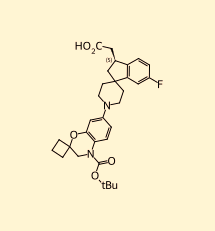 CC(C)(C)OC(=O)N1CC2(CCC2)Oc2cc(N3CCC4(CC3)C[C@@H](CC(=O)O)c3ccc(F)cc34)ccc21